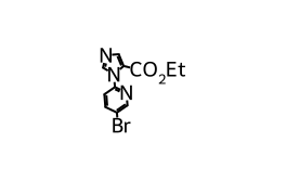 CCOC(=O)c1cncn1-c1ccc(Br)cn1